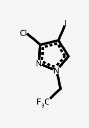 FC(F)(F)Cn1cc(I)c(Cl)n1